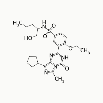 CCCC(CO)NS(=O)(=O)c1ccc(OCC)c(-c2nc3c(C4CCCC4)nc(C)n3c(=O)[nH]2)c1